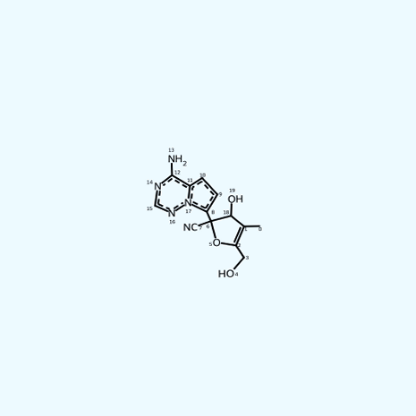 CC1=C(CO)OC(C#N)(c2ccc3c(N)ncnn23)C1O